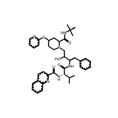 CC(C)[C@H](NC(=O)c1ccc2ccccc2n1)C(=O)NC(Cc1ccccc1)C(O)CN1CCC(Sc2ccccn2)CC1C(=O)NC(C)(C)C